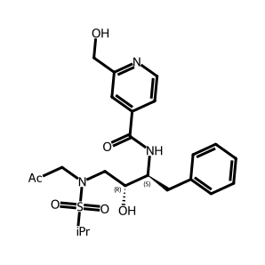 CC(=O)CN(C[C@@H](O)[C@H](Cc1ccccc1)NC(=O)c1ccnc(CO)c1)S(=O)(=O)C(C)C